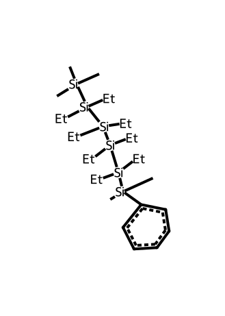 CC[Si](CC)([Si](C)(C)C)[Si](CC)(CC)[Si](CC)(CC)[Si](CC)(CC)[Si](C)(C)c1ccccc1